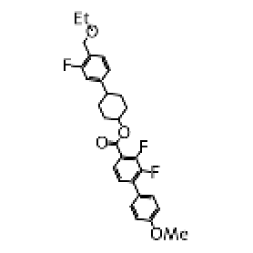 CCOCc1ccc(C2CCC(OC(=O)c3ccc(-c4ccc(OC)cc4)c(F)c3F)CC2)cc1F